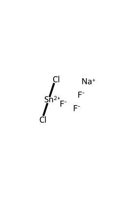 [Cl][Sn+2][Cl].[F-].[F-].[F-].[Na+]